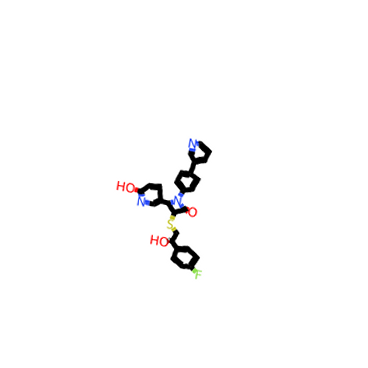 O=C1C(SC[C@H](O)c2ccc(F)cc2)C(c2ccc(O)nc2)N1c1ccc(-c2cccnc2)cc1